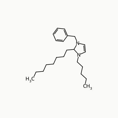 CCCCCCCCC1N(CCCCC)C=CN1Cc1ccccc1